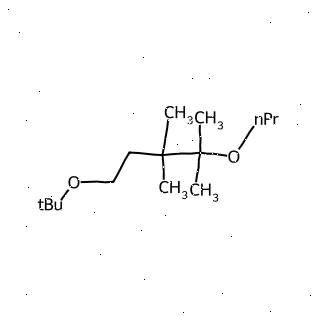 CCCOC(C)(C)C(C)(C)CCOC(C)(C)C